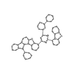 c1ccc(-c2cccc(-c3nc(-c4cccc5c4oc4ccc6c7ccccc7n(-c7ccccc7)c6c45)nc(-c4cccc5sc6ccccc6c45)n3)c2)cc1